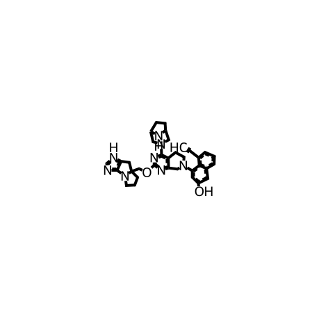 C#Cc1cccc2cc(O)cc(N3CCc4c(nc(OCC56CCCN5c5nc[nH]c5C6)nc4N4CC5CCC(C4)N5)C3)c12